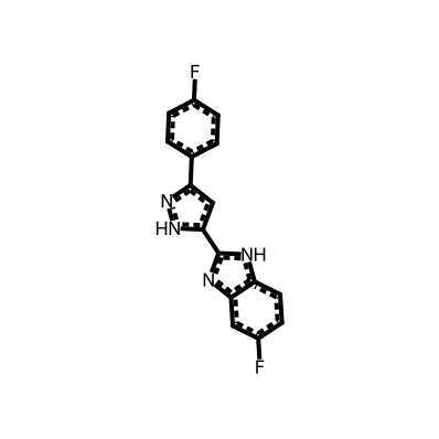 Fc1ccc(-c2cc(-c3nc4cc(F)ccc4[nH]3)[nH]n2)cc1